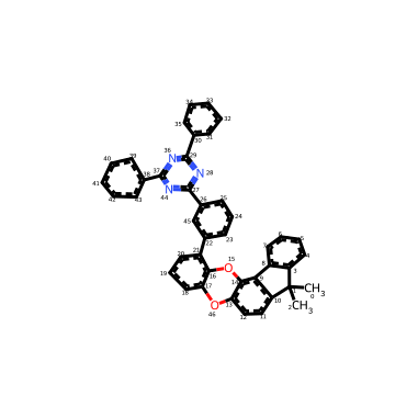 CC1(C)c2ccccc2-c2c1ccc1c2Oc2c(cccc2-c2cccc(-c3nc(-c4ccccc4)nc(-c4ccccc4)n3)c2)O1